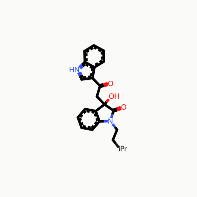 CC(C)CCN1C(=O)C(O)(CC(=O)c2c[nH]c3ccccc23)c2ccccc21